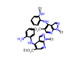 CCNc1ccccc1Nc1c(C(=O)OCC)cnc2c1cnn2CC.CCOC(=O)c1cnc2c(cnn2CC)c1Nc1ccccc1N